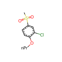 CCCOc1ccc(S(C)(=O)=O)cc1Cl